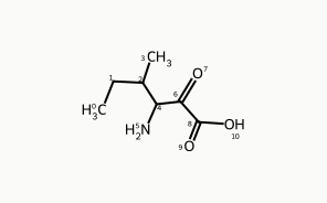 CCC(C)C(N)C(=O)C(=O)O